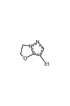 CCc1cnn2c1OCC2